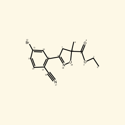 CCOC(=O)C1(C)CC(c2cc(Br)ccc2C#N)=NO1